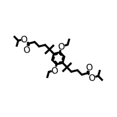 CCOc1cc(C(C)(C)CCCC(=O)OC(C)C)c(OCC)cc1C(C)(C)CCCC(=O)OC(C)C